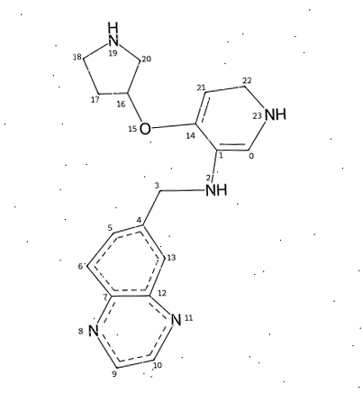 C1=C(NCc2ccc3nccnc3c2)C(OC2CCNC2)=CCN1